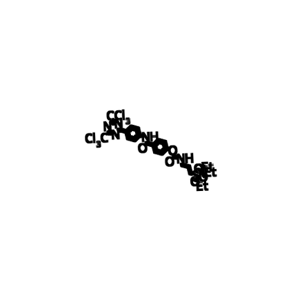 CCO[Si](CCCNC(=O)Oc1ccc(C(=O)Nc2ccc(-c3nc(C(Cl)(Cl)Cl)nc(C(Cl)(Cl)Cl)n3)cc2)cc1)(OCC)OCC